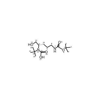 CC(C)(C)OC(=O)NCCC[C@@H](CO)N(C(=O)O)C(C)(C)C